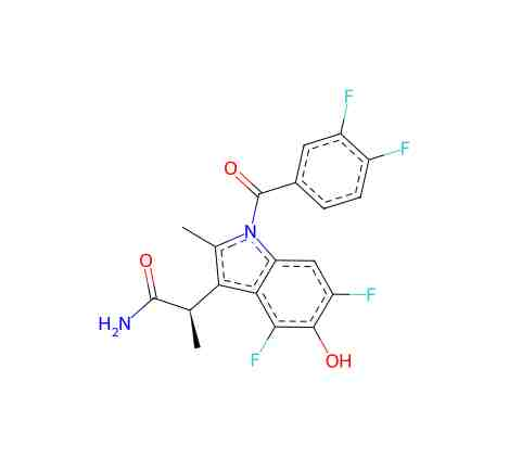 Cc1c([C@@H](C)C(N)=O)c2c(F)c(O)c(F)cc2n1C(=O)c1ccc(F)c(F)c1